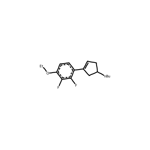 CCCCC1CC=C(c2ccc(OCC)c(F)c2F)C1